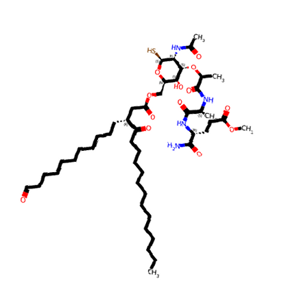 CCCCCCCCCCCCCC(=O)[C@H](CCCCCCCCCCC=O)CC(=O)OC[C@H]1O[C@@H](S)[C@H](NC(C)=O)[C@H](OC(C)C(=O)N[C@@H](C)C(=O)N[C@H](CCC(=O)OC)C(N)=O)[C@@H]1O